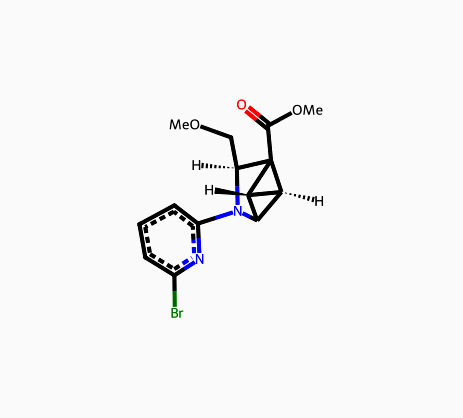 COC[C@@H]1N(c2cccc(Br)n2)C2[C@H]3[C@H]2C13C(=O)OC